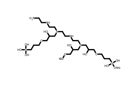 CO[Si](O)(O)CCCOCC(O)CN(CCNCCN(CCNCCN)CC(O)COCCC[Si](O)(O)O)CC(O)COC(C)(C)C